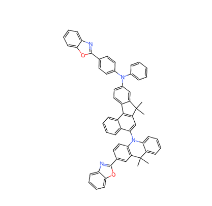 CC1(C)c2ccccc2N(c2cc3c(c4ccccc24)-c2ccc(N(c4ccccc4)c4ccc(-c5nc6ccccc6o5)cc4)cc2C3(C)C)c2ccc(-c3nc4ccccc4o3)cc21